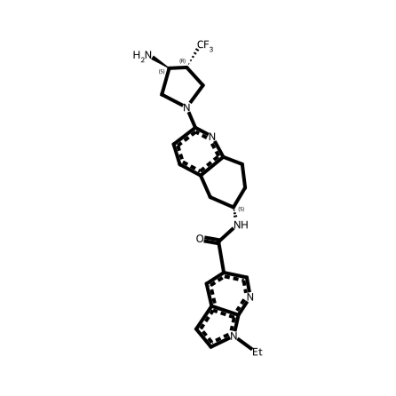 CCn1ccc2cc(C(=O)N[C@H]3CCc4nc(N5C[C@@H](N)[C@H](C(F)(F)F)C5)ccc4C3)cnc21